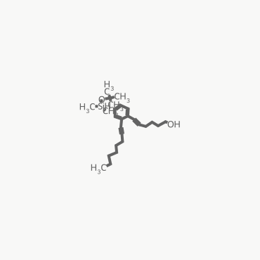 CCCCCCC#Cc1ccccc1C#CCCCCO.C[SiH](C)OC(C)(C)C